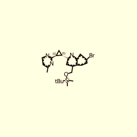 Cc1ccnc([C@H]2C[C@@H]2c2cc(CO[Si](C)(C)C(C)(C)C)c3ccc(Br)cc3n2)n1